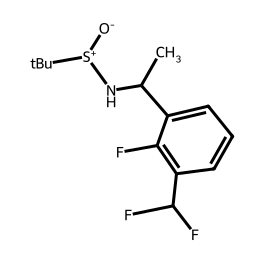 CC(N[S+]([O-])C(C)(C)C)c1cccc(C(F)F)c1F